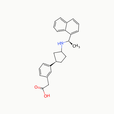 C[C@@H](NC1CC[C@@H](c2cccc(CC(=O)O)c2)C1)c1cccc2ccccc12